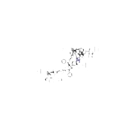 [C-]#[N+]c1c(/N=N/c2ccc(N(CC(OCCOCCOCC[N+](C)(C)CCCS(=O)(=O)O)c3ccccc3)CC(OCCOCC[N+](C)(C)CCCS(=O)(=O)O)c3ccccc3)cc2C)sc(C#N)c1C